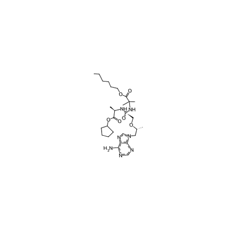 CCCCCCOC(=O)C(C)(C)N[P@@](=O)(CO[C@H](C)Cn1cnc2c(N)ncnc21)N[C@H](C)C(=O)OC1CCCC1